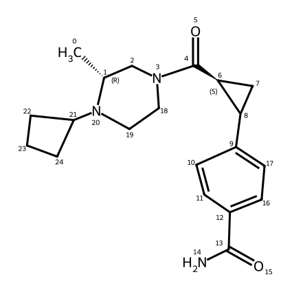 C[C@@H]1CN(C(=O)[C@H]2CC2c2ccc(C(N)=O)cc2)CCN1C1CCC1